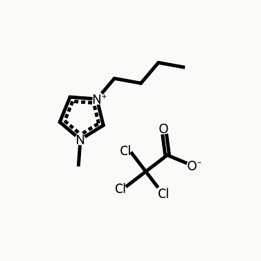 CCCC[n+]1ccn(C)c1.O=C([O-])C(Cl)(Cl)Cl